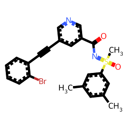 Cc1cc(C)cc(S(C)(=O)=NC(=O)c2cncc(C#Cc3ccccc3Br)c2)c1